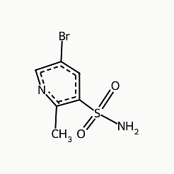 Cc1ncc(Br)cc1S(N)(=O)=O